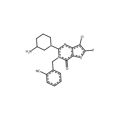 N#Cc1ccccc1Cn1c(N2CCCC(N)C2)nc2c(Cl)c(F)sc2c1=O